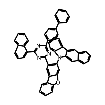 c1ccc(-c2ccc(-c3nc(-c4cc5c(cc4-n4c6ccccc6c6cc7ccccc7cc64)oc4ccccc45)nc(-c4cccc5ccccc45)n3)cc2)cc1